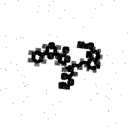 COc1ccc2nccc(CCCN(CC(=O)OC(C)(C)C)C[C@@H]3CN(C4=COC=C(C5=CC=CCC5)O4)C(=O)O3)c2n1